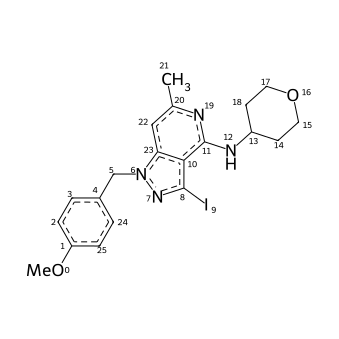 COc1ccc(Cn2nc(I)c3c(NC4CCOCC4)nc(C)cc32)cc1